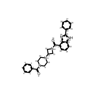 O=C(c1ccccc1)N1CCN(C2CN(C(=O)c3cccc4[nH]c(-c5ccccc5)nc34)C2)CC1